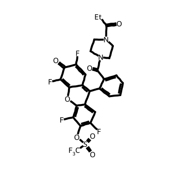 CCC(=O)N1CCN(C(=O)c2ccccc2-c2c3cc(F)c(=O)c(F)c-3oc3c(F)c(OS(=O)(=O)C(F)(F)F)c(F)cc23)CC1